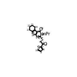 CCCn1c(SCC(=O)c2cccs2)nc2sc3c(c2c1=O)CCCC3